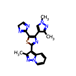 Cc1nn(C)cc1-c1nc(-c2c(C)nn3ccccc23)sc1C1=NCC=N1